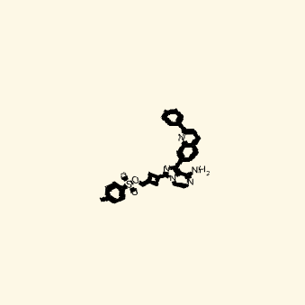 Cc1ccc(S(=O)(=O)OCC2CC(c3nc(-c4ccc5ccc(-c6ccccc6)nc5c4)c4c(N)nccn34)C2)cc1